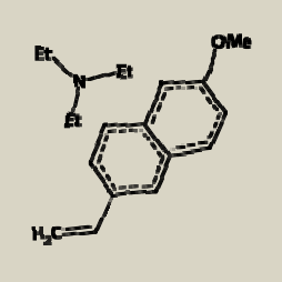 C=Cc1ccc2cc(OC)ccc2c1.CCN(CC)CC